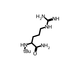 CC(C)(C)NC(CCCNC(=N)N)C(N)=O